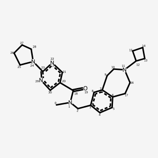 CN(Cc1ccc2c(c1)CCN(C1CCC1)CC2)C(=O)c1cnc(N2CCCC2)nc1